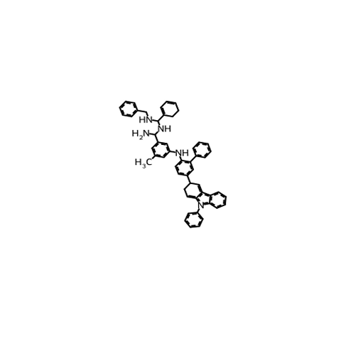 Cc1cc(Nc2ccc(C3C=c4c(n(-c5ccccc5)c5ccccc45)=CC3)cc2-c2ccccc2)cc(C(N)NC(NCc2ccccc2)C2=CC=CCC2)c1